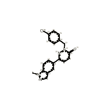 Cn1ncc2cc(-c3ccc(=O)n(Cc4ccc(Cl)cc4)n3)ccc21